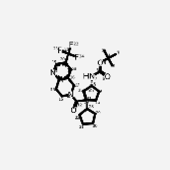 CC(C)(C)OC(=O)N[C@@H]1CC[C@@](C(=O)N2CCc3ncc(C(F)(F)F)cc3C2)(C2CCCC2)C1